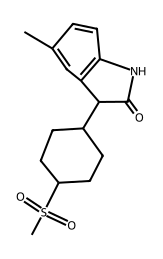 Cc1ccc2c(c1)C(C1CCC(S(C)(=O)=O)CC1)C(=O)N2